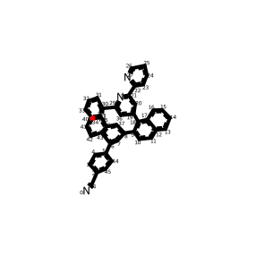 N#Cc1ccc(-c2cc(-c3ccc4ccccc4c3-c3cc(-c4ccccn4)nc(-c4ccccn4)c3)cc3ccccc23)cc1